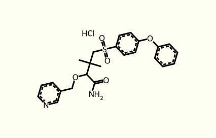 CC(C)(CS(=O)(=O)c1ccc(Oc2ccccc2)cc1)C(OCc1cccnc1)C(N)=O.Cl